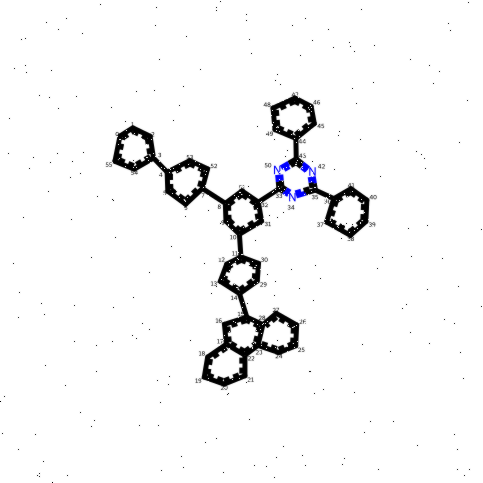 c1ccc(-c2ccc(-c3cc(-c4ccc(-c5cc6ccccc6c6ccccc56)cc4)cc(-c4nc(-c5ccccc5)nc(-c5ccccc5)n4)c3)cc2)cc1